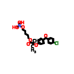 CC(C)(Oc1ccc(C(=O)c2ccc(Cl)cc2)cc1)C(=O)OCCCCCON(O)O